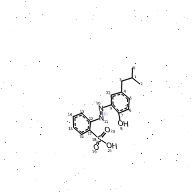 CC(C)Cc1ccc(O)c(/N=N/c2ccccc2S(=O)(=O)O)c1